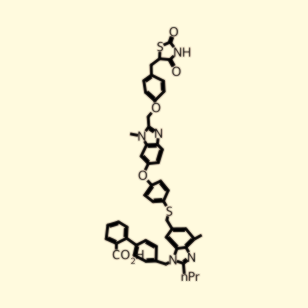 CCCc1nc2c(C)cc(CSc3ccc(Oc4ccc5nc(COc6ccc(CC7SC(=O)NC7=O)cc6)n(C)c5c4)cc3)cc2n1Cc1ccc(-c2ccccc2C(=O)O)cc1